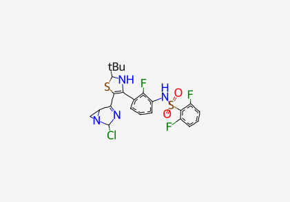 CC(C)(C)C1NC(c2cccc(NS(=O)(=O)c3c(F)cccc3F)c2F)=C(C2=NC(Cl)N3CC23)S1